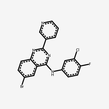 Fc1ccc(Nc2nc(-c3cccnc3)nc3ccc(Br)cc23)cc1Cl